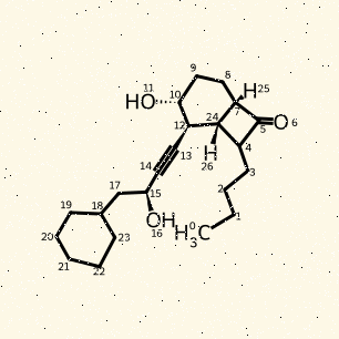 CCCCC1C(=O)[C@H]2CC[C@@H](O)[C@H](C#C[C@@H](O)CC3CCCCC3)[C@@H]12